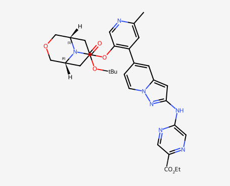 CCOC(=O)c1cnc(Nc2cc3cc(-c4cc(C)ncc4OC4C[C@H]5COC[C@@H](C4)N5C(=O)OC(C)(C)C)ccn3n2)cn1